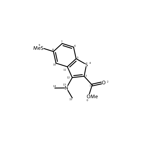 COC(=O)c1sc2ccc(SC)cc2c1N(C)C